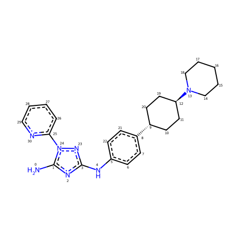 Nc1nc(Nc2ccc([C@H]3CC[C@H](N4CCCCC4)CC3)cc2)nn1-c1ccccn1